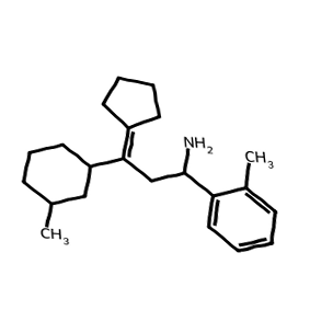 Cc1ccccc1C(N)CC(=C1CCCC1)C1CCCC(C)C1